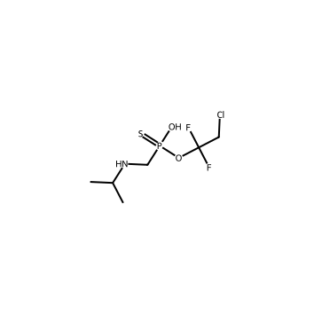 CC(C)NCP(O)(=S)OC(F)(F)CCl